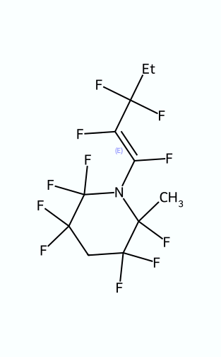 CCC(F)(F)/C(F)=C(\F)N1C(C)(F)C(F)(F)CC(F)(F)C1(F)F